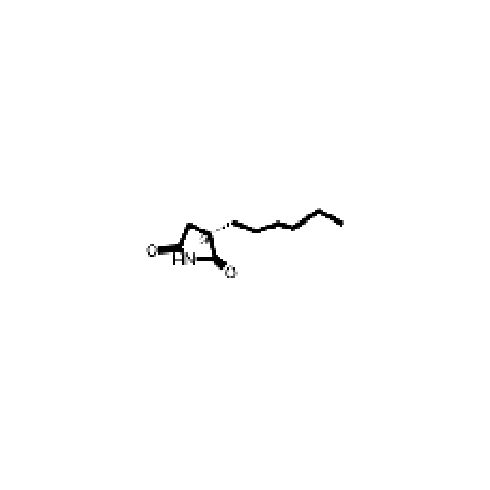 CCCCCC[C@H]1CC(=O)NC1=O